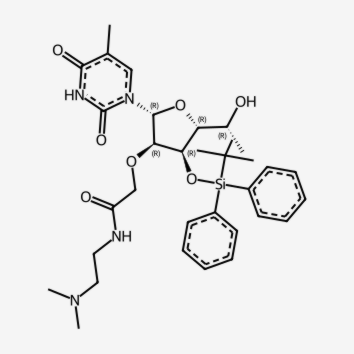 Cc1cn([C@@H]2O[C@H]([C@@H](C)O)[C@@H](O[Si](c3ccccc3)(c3ccccc3)C(C)(C)C)[C@H]2OCC(=O)NCCN(C)C)c(=O)[nH]c1=O